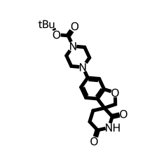 CC(C)(C)OC(=O)N1CCN(c2ccc3c(c2)OCC32CCC(=O)NC2=O)CC1